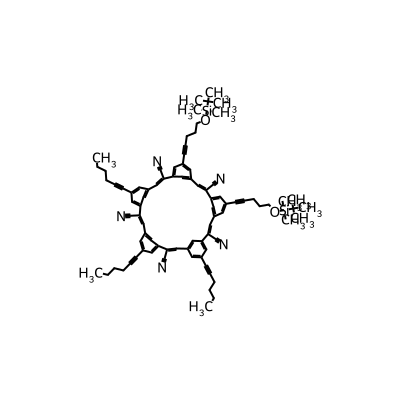 CCCCC#Cc1cc2cc(c1)/C(C#N)=C/c1cc(C#CCCCO[Si](C)(C)C(C)(C)C)cc(c1)/C(C#N)=C/c1cc(C#CCCCO[Si](C)(C)C(C)(C)C)cc(c1)/C(C#N)=C/c1cc(C#CCCCC)cc(c1)/C(C#N)=C/c1cc(C#CCCCC)cc(c1)/C(C#N)=C/2